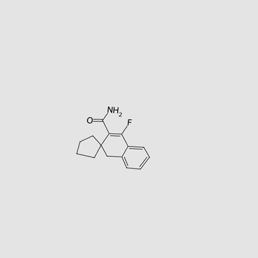 NC(=O)C1=C(F)c2ccccc2CC12CCCC2